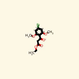 CCOC(=O)CC(=O)c1c(OC)cc(Br)cc1OC